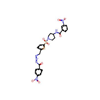 O=C(N=[N+]=NCc1ccc(S(=O)(=O)N2CCC(NC(=O)c3cccc([N+](=O)[O-])c3)CC2)s1)c1ccc([N+](=O)[O-])cc1